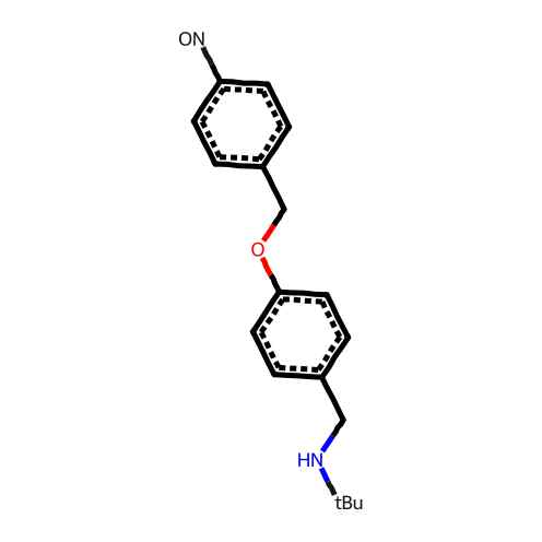 CC(C)(C)NCc1ccc(OCc2ccc(N=O)cc2)cc1